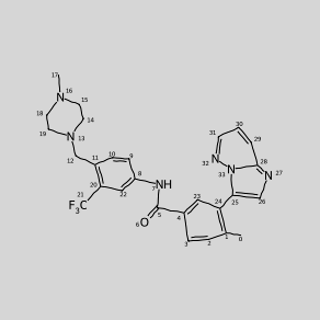 Cc1ccc(C(=O)Nc2ccc(CN3CCN(C)CC3)c(C(F)(F)F)c2)cc1-c1cnc2cccnn12